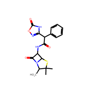 CC1(C)SC2C(NC(=O)C(c3ccccc3)c3noc(=O)[nH]3)C(=O)N2C1C(=O)O